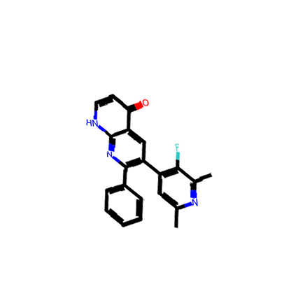 Cc1cc(-c2cc3c(=O)cc[nH]c3nc2-c2ccccc2)c(F)c(C)n1